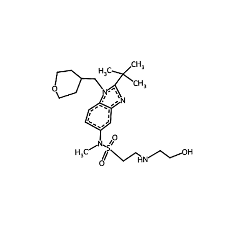 CN(c1ccc2c(c1)nc(C(C)(C)C)n2CC1CCOCC1)S(=O)(=O)CCNCCO